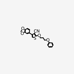 N#Cc1c(-c2ccc3c(c2)OCO3)csc1OCCCOc1ccccc1